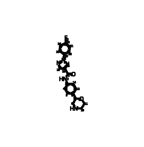 O=C(Nc1ccc(C2CNCCO2)cc1)c1cnn(-c2ccc(F)cc2)n1